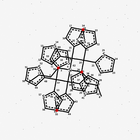 CCCC[Si](CCCC)(C(c1cccs1)(c1cccs1)C(c1cccs1)(c1cccs1)c1cccs1)C(c1cccs1)(c1cccs1)C(c1cccs1)(c1cccs1)c1cccs1